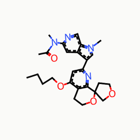 CCCCOc1cc(-c2cn(C)c3cnc(N(C)C(C)=O)cc23)nc2c1CCOC21CCOC1